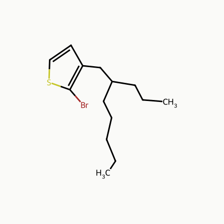 CCCCCC(CCC)Cc1ccsc1Br